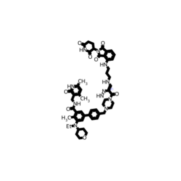 CCN(c1cc(-c2ccc(CN3CCN(C(=O)/C(=C/NCCCNc4cccc5c4C(=O)N(C4CCC(=O)NC4=O)C5=O)N=N)CC3)cc2)cc(C(=O)NCc2c(C)cc(C)[nH]c2=O)c1C)C1CCOCC1